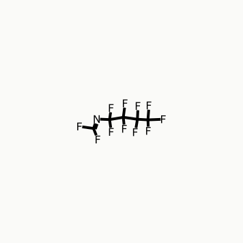 FC(F)=NC(F)(F)C(F)(F)C(F)(F)C(F)(F)F